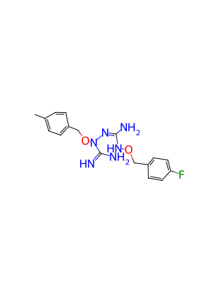 Cc1ccc(CON(N=C(N)NOCc2ccc(F)cc2)C(=N)N)cc1